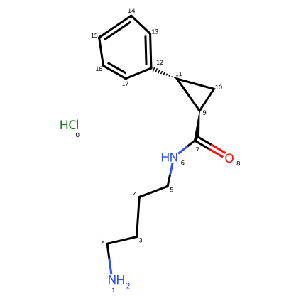 Cl.NCCCCNC(=O)[C@@H]1C[C@H]1c1ccccc1